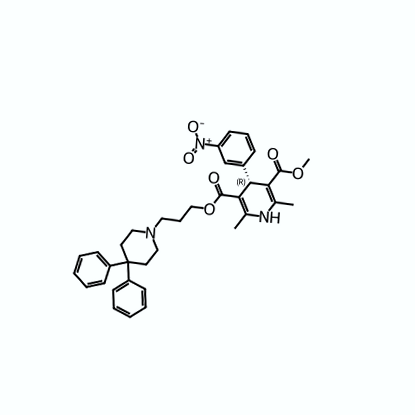 COC(=O)C1=C(C)NC(C)=C(C(=O)OCCCN2CCC(c3ccccc3)(c3ccccc3)CC2)[C@@H]1c1cccc([N+](=O)[O-])c1